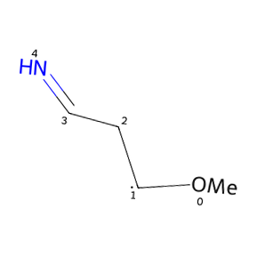 CO[CH]CC=N